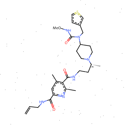 C=CCNC(=O)c1cc(C)c(C(=O)NCC[C@@H](C)N2CCC(N(Cc3ccsc3)C(=O)NOC)CC2)c(C)n1